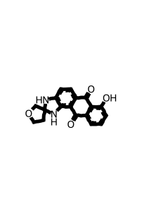 O=C1c2ccc3c(c2C(=O)c2cccc(O)c21)NC1(CCOC1)N3